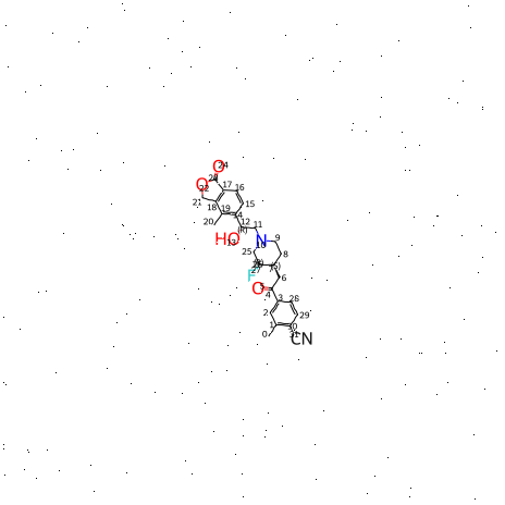 Cc1cc(C(=O)C[C@@H]2CCN(C[C@H](O)c3ccc4c(c3C)COC4=O)C[C@@H]2F)ccc1C#N